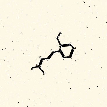 CCc1ccccc1C=CC=C(C)C